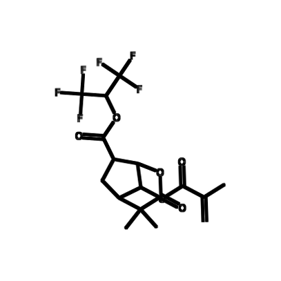 C=C(C)C(=O)OC1C2OC(=O)C(C)(C)C1CC2C(=O)OC(C(F)(F)F)C(F)(F)F